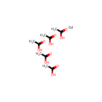 CC(=O)O.CC(=O)O.CC(=O)O.CC(=O)O.CC(=O)O.[Gd]